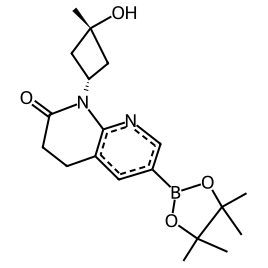 CC1(C)OB(c2cnc3c(c2)CCC(=O)N3[C@H]2C[C@@](C)(O)C2)OC1(C)C